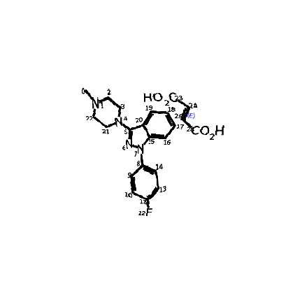 CN1CCN(c2nn(-c3ccc(F)cc3)c3ccccc23)CC1.O=C(O)/C=C/C(=O)O